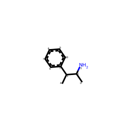 CC(N)C(C)c1ccccc1